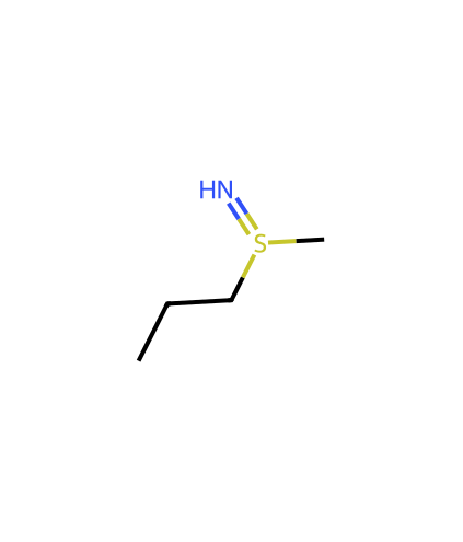 CCCS(C)=N